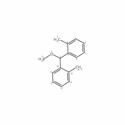 BOC(c1ccccc1C)c1ccccc1C